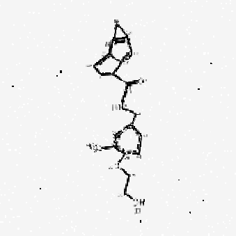 Cc1cc(CNC(=O)C2=CC=C3C2=CC2=C3C2)ccc1OCCO